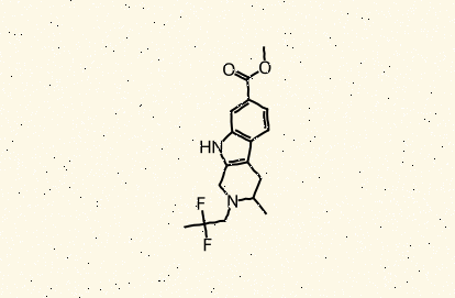 COC(=O)c1ccc2c3c([nH]c2c1)CN(CC(C)(F)F)C(C)C3